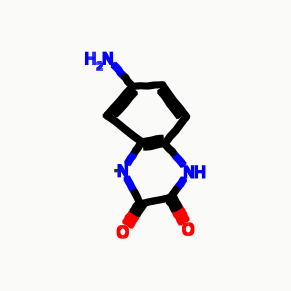 Nc1ccc2c(c1)[N]C(=O)C(=O)N2